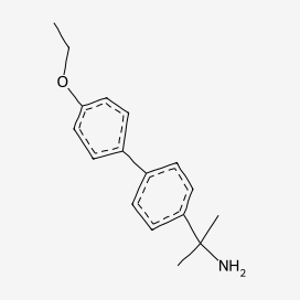 CCOc1ccc(-c2ccc(C(C)(C)N)cc2)cc1